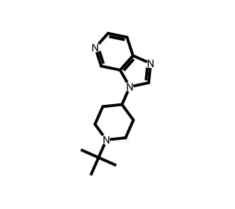 CC(C)(C)N1CCC(n2cnc3ccncc32)CC1